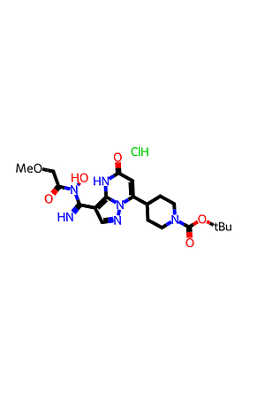 COCC(=O)N(O)C(=N)c1cnn2c(C3CCN(C(=O)OC(C)(C)C)CC3)cc(=O)[nH]c12.Cl